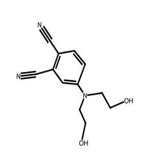 N#Cc1ccc(N(CCO)CCO)cc1C#N